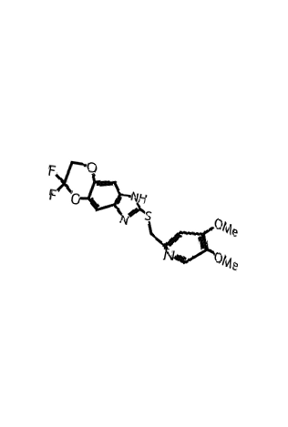 COc1cnc(CSc2nc3cc4c(cc3[nH]2)OCC(F)(F)O4)cc1OC